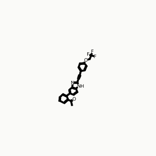 CC(=O)c1ccccc1-c1ccc2[nH]c(C#Cc3ccc(OCC(F)(F)F)cc3)nc2c1